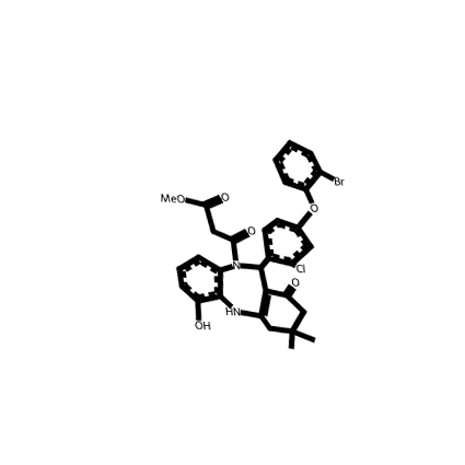 COC(=O)CC(=O)N1c2cccc(O)c2NC2=C(C(=O)CC(C)(C)C2)C1c1ccc(Oc2ccccc2Br)cc1Cl